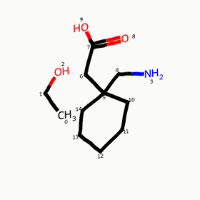 CCO.NCC1(CC(=O)O)CCCCC1